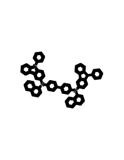 c1ccc(C2c3ccccc3-c3cc(N(c4ccc(-c5ccc(N(c6ccc7c(c6)c6ccccc6n7-c6ccccc6)c6cccc7ccccc67)cc5)cc4)c4cccc5ccccc45)ccc32)cc1